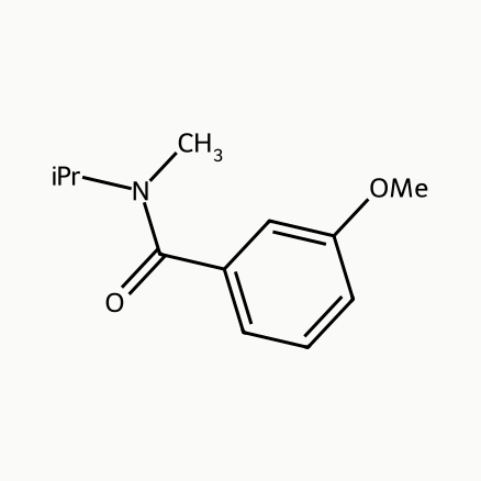 COc1cccc(C(=O)N(C)C(C)C)c1